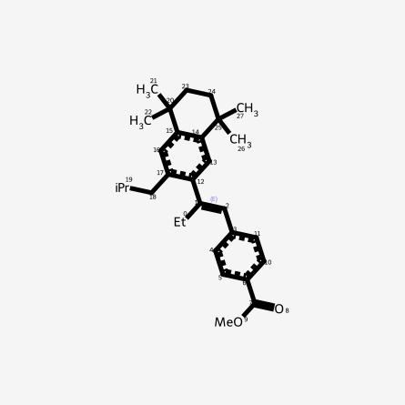 CC/C(=C\c1ccc(C(=O)OC)cc1)c1cc2c(cc1CC(C)C)C(C)(C)CCC2(C)C